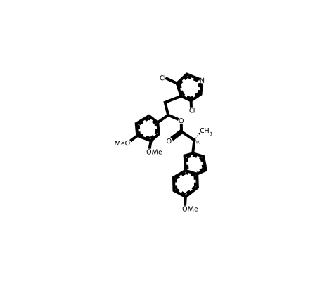 COc1ccc2cc([C@@H](C)C(=O)OC(Cc3c(Cl)cncc3Cl)c3ccc(OC)c(OC)c3)ccc2c1